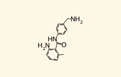 Cc1cccc(N)c1C(=O)Nc1ccc(CN)cc1